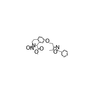 COC(=O)C1c2cc(OCCc3nc(-c4ccccc4)oc3C)ccc2CCN1N=O